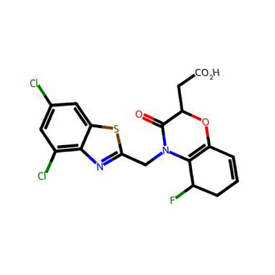 O=C(O)CC1OC2=C(C(F)CC=C2)N(Cc2nc3c(Cl)cc(Cl)cc3s2)C1=O